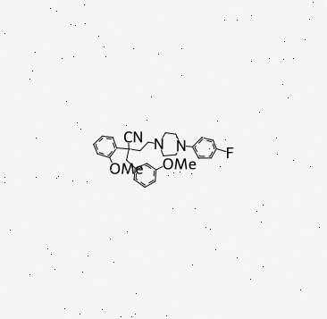 COc1cccc(CC(C#N)(CCN2CCN(c3ccc(F)cc3)CC2)c2ccccc2OC)c1